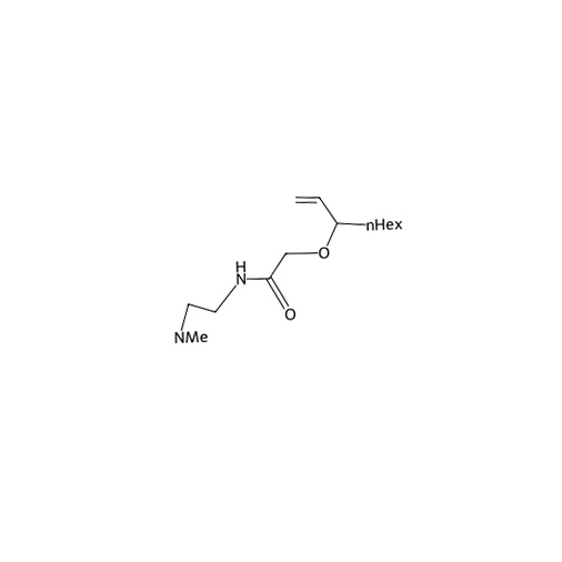 C=CC(CCCCCC)OCC(=O)NCCNC